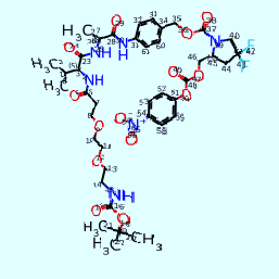 CC(C)[C@H](NC(=O)CCOCCOCCNC(=O)OC(C)(C)C)C(=O)N[C@@H](C)C(=O)Nc1ccc(COC(=O)N2CC(F)(F)C[C@H]2COC(=O)Oc2ccc([N+](=O)[O-])cc2)cc1